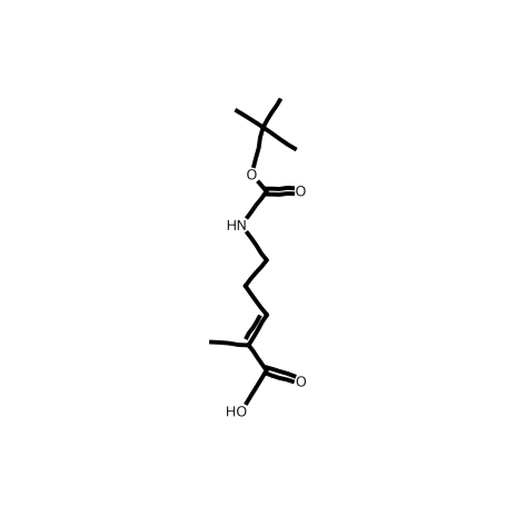 C/C(=C\CCNC(=O)OC(C)(C)C)C(=O)O